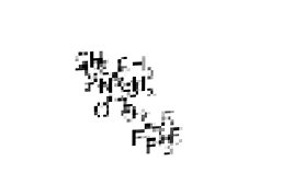 C#CCN(C(=O)C(=O)OC/C(F)=C(\F)C(F)(F)F)C(C)(C)C